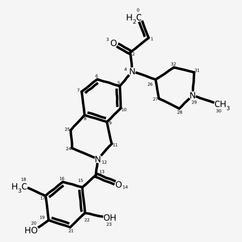 C=CC(=O)N(c1ccc2c(c1)CN(C(=O)c1cc(C)c(O)cc1O)CC2)C1CCN(C)CC1